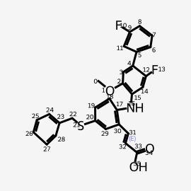 COc1cc(-c2cccc(F)c2)c(F)cc1Nc1ccc(SCc2ccccc2)cc1/C=C/C(=O)O